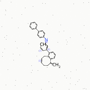 C=C1CC/C=C\Cc2c1cccc2C(/C=C\C)=C/C=N/c1ccc(-c2ccccc2)cc1